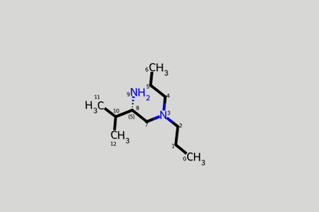 CCCN(CCC)C[C@@H](N)C(C)C